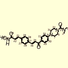 CN(C)C(=O)N1CCN(c2ccc(C(=O)/C=C/c3ccc(/C=C/C(=O)NO)cc3)cc2)CC1